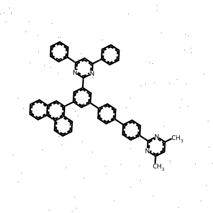 Cc1cc(C)nc(-c2ccc(-c3ccc(-c4cc(-c5nc(-c6ccccc6)cc(-c6ccccc6)n5)cc(-c5cc6ccccc6c6ccccc56)c4)cc3)cc2)n1